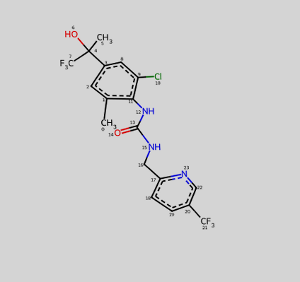 Cc1cc(C(C)(O)C(F)(F)F)cc(Cl)c1NC(=O)NCc1ccc(C(F)(F)F)cn1